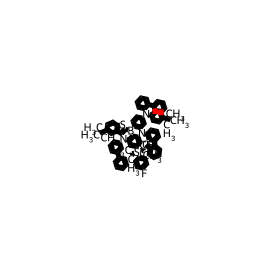 CC(C)[Si](c1ccc(F)cc1)(c1cc2c3c(c1)N(c1cccc4c1oc1ccccc14)c1cc(N(c4ccc(C(C)(C)C)cc4)c4ccccc4-c4ccccc4)ccc1B3c1sc3ccc(C(C)(C)C)cc3c1N2c1cccc(-c2ccccc2)c1)C(C)C